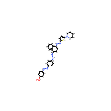 Oc1ccc(N=Nc2ccc(N=Nc3ccc(N=Nc4ccc(N5CCCCC5)s4)c4ccccc34)cc2)cc1